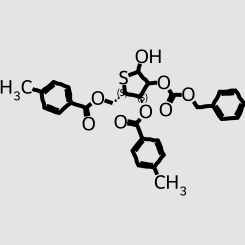 Cc1ccc(C(=O)OC[C@@H]2SC(O)C(OC(=O)OCc3ccccc3)[C@@H]2OC(=O)c2ccc(C)cc2)cc1